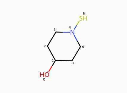 OC1CCN(S)CC1